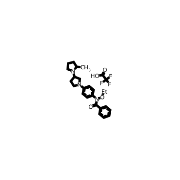 CCON(C(=O)c1ccccc1)c1ccc(N2CCC(N3CCCC3C)C2)cc1.O=C(O)C(F)(F)F